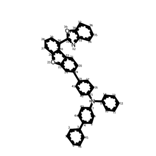 c1ccc(-c2ccc(N(c3ccccc3)c3ccc(-c4ccc5c(c4)oc4cccc(-c6nc7ccccc7o6)c45)cc3)cc2)cc1